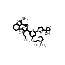 CCCc1c(-c2nc(O[C@@H](C)[C@@H]3CCCN3C)cc(-n3ccc(C4(O)COC4)n3)n2)noc1[C@@]1(C)CCCc2sc(N)c(C#N)c21